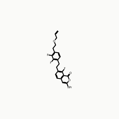 C=CCOCCc1ccc(CCc2ccc3cc(CCC)oc(=O)c3c2F)c(F)c1F